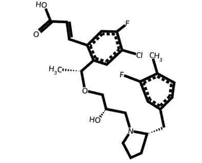 Cc1ccc(C[C@@H]2CCCN2C[C@H](O)CO[C@H](C)c2cc(Cl)c(F)cc2/C=C/C(=O)O)cc1F